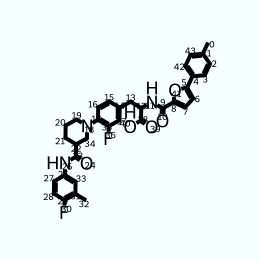 Cc1ccc(-c2ccc(C(=O)NC(Cc3ccc(N4CCCC(C(=O)Nc5ccc(F)c(C)c5)C4)c(F)c3)C(=O)O)o2)cc1